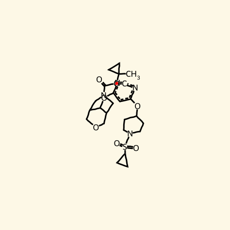 CC1(OC(=O)N2CC3COCC(C2)C3Oc2cc(OC3CCN(S(=O)(=O)C4CC4)CC3)ncn2)CC1